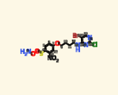 NOOSc1ccc(OCCCCNc2nc(Cl)ncc2Br)cc1[N+](=O)[O-]